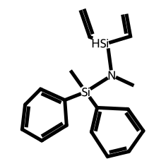 C=C[SiH](C=C)N(C)[Si](C)(c1ccccc1)c1ccccc1